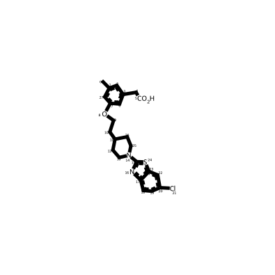 Cc1cc(CC(=O)O)cc(OCCC2CCN(c3nc4ccc(Cl)cc4s3)CC2)c1